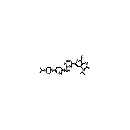 Cc1nc2c(F)nc(-c3ccnc(Nc4ccc(N5CCN(C(C)C)CC5)cn4)n3)cc2n1C(C)C